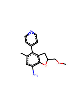 COCC1Cc2c(c(N)cc(C)c2-c2ccncc2)O1